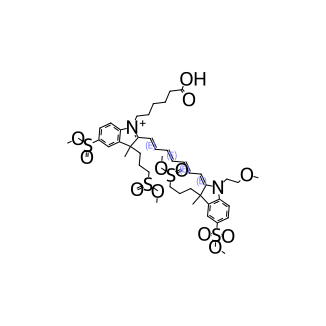 COCCN1/C(=C/C=C/C=C/C=C/C2=[N+](CCCCCC(=O)O)c3ccc(S(=O)OC)cc3C2(C)CCCS(=O)OC)C(C)(CCCS(=O)OC)c2cc(S(=O)(=O)OC)ccc21